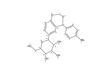 CC(C)(C)c1ccc(C2OCOc3ccc(C4OC(CO)C(O)C(O)C4O)cc32)cc1